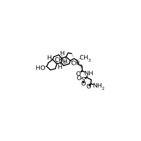 C[C@H](CCC(=O)NC(CC(N)=O)=S(=O)=O)[C@H]1CC[C@H]2[C@@H]3CC[C@@H]4C[C@@H](O)CC[C@]4(C)[C@H]3CC[C@]12C